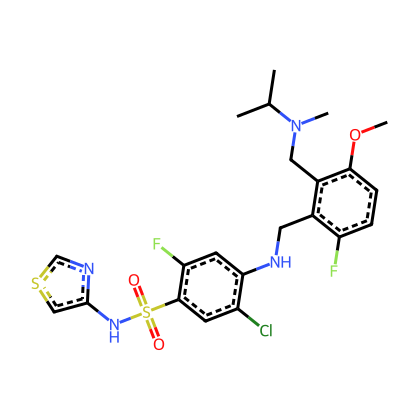 COc1ccc(F)c(CNc2cc(F)c(S(=O)(=O)Nc3cscn3)cc2Cl)c1CN(C)C(C)C